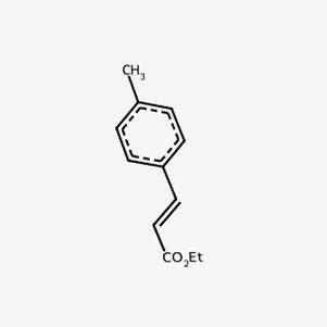 CCOC(=O)/C=C/c1ccc(C)cc1